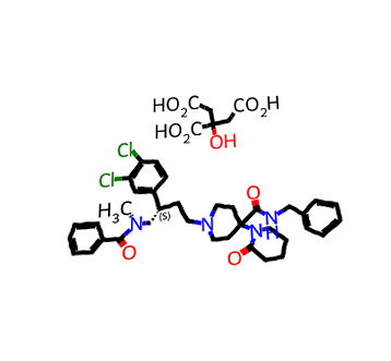 CN(C[C@@H](CCN1CCC(C(=O)NCc2ccccc2)(N2CCCCC2=O)CC1)c1ccc(Cl)c(Cl)c1)C(=O)c1ccccc1.O=C(O)CC(O)(CC(=O)O)C(=O)O